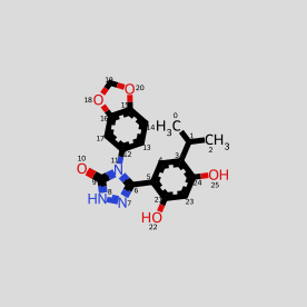 CC(C)c1cc(-c2n[nH]c(=O)n2-c2ccc3c(c2)OCO3)c(O)cc1O